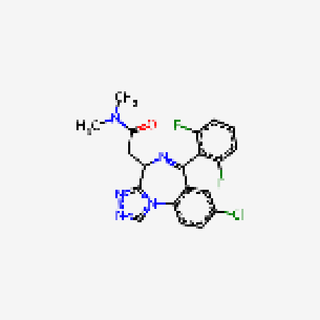 CN(C)C(=O)CC1N=C(c2c(F)cccc2F)c2cc(Cl)ccc2-n2cnnc21